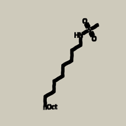 CCCCCCCCCCCCCCCCNS(C)(=O)=O